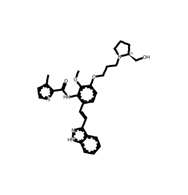 COc1c(OCCCN2CCC[C@H]2CO)ccc(C=Cc2n[nH]c3ccccc23)c1NC(=O)c1sccc1C